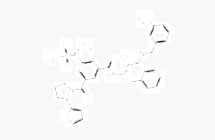 CN(c1cc(C(=O)N[C@@H](Cc2ccccc2)[C@H](O)CNCc2cccc(C(F)(F)F)c2)cc(C(=O)N2CCCC2c2cccs2)c1)S(C)(=O)=O